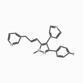 Cn1nc(-c2ccc(F)cc2)c(-c2ccncc2)c1/C=C/Cc1cccnc1